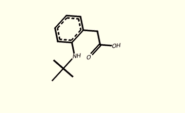 CC(C)(C)Nc1ccccc1CC(=O)O